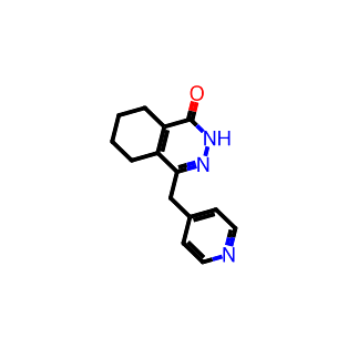 O=c1[nH]nc(Cc2ccncc2)c2c1CCCC2